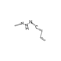 C=CC=C=NNN=C